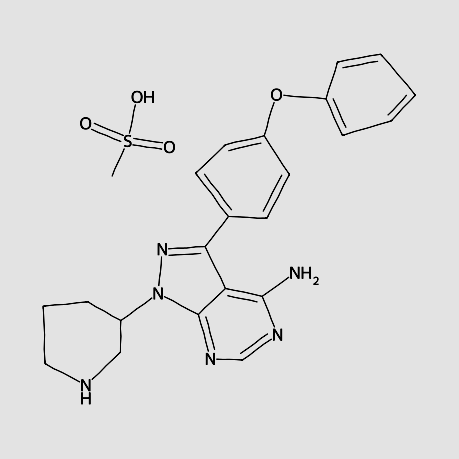 CS(=O)(=O)O.Nc1ncnc2c1c(-c1ccc(Oc3ccccc3)cc1)nn2C1CCCNC1